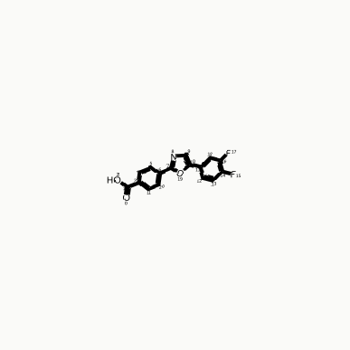 O=C(O)c1ccc(-c2ncc(-c3ccc(F)c(F)c3)o2)cc1